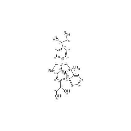 CCC(C)CC(CC(C)(C)c1ccccc1)(c1ccc(C(O)CO)cc1)c1ccc(C(O)CO)cc1